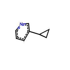 [c]1ccncc1C1CC1